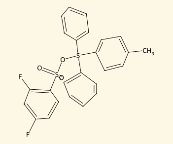 Cc1ccc(S(OS(=O)(=O)c2ccc(F)cc2F)(c2ccccc2)c2ccccc2)cc1